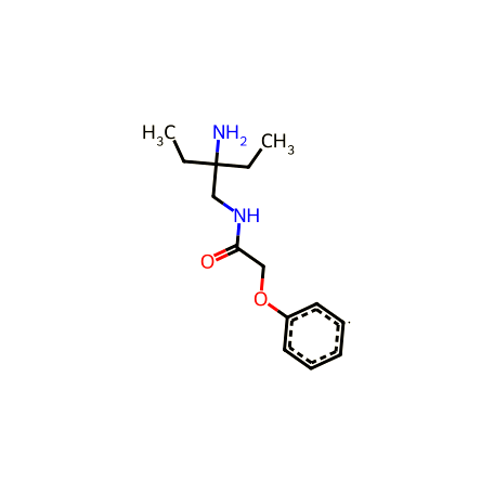 CCC(N)(CC)CNC(=O)COc1c[c]ccc1